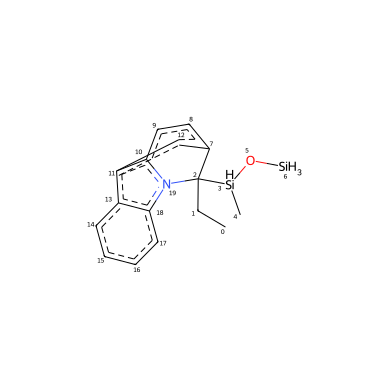 CCC1([SiH](C)O[SiH3])c2ccc3c(c2)c2ccccc2n31